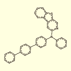 c1ccc(-c2ccc(-c3ccc(N(c4ccccc4)c4cc5c(cn4)sc4ccccc45)cc3)cc2)cc1